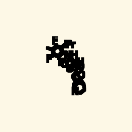 Cc1c(F)c(C(C)C)c(NC(=O)NS(=O)(=O)c2cc3c(o2)C2CCN(CC2)C3)c(C(C)C)c1F